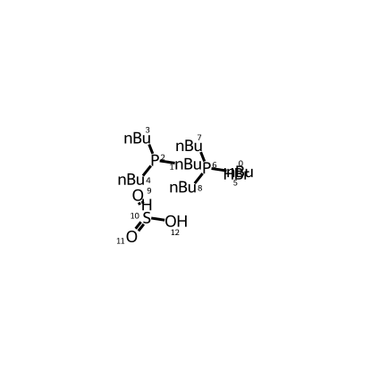 Br.CCCCP(CCCC)CCCC.CCCCP(CCCC)CCCC.O=[SH](=O)O